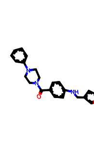 O=C(c1ccc(NCc2ccoc2)cc1)N1CCN(c2ccccc2)CC1